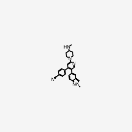 CNC1CCN(c2cc(-c3ccc(C#N)cc3)c(-c3ccc4nn(C)cc4c3)cn2)CC1